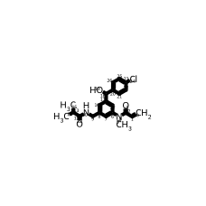 C=CC(=O)N(C)c1cc(CNC(=O)C(C)C)cc(C(O)c2ccc(Cl)cc2)c1